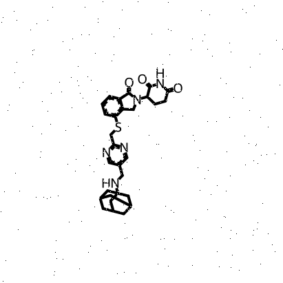 O=C1CCC(N2Cc3c(SCc4ncc(CNC56CC7CC(CC(C7)C5)C6)cn4)cccc3C2=O)C(=O)N1